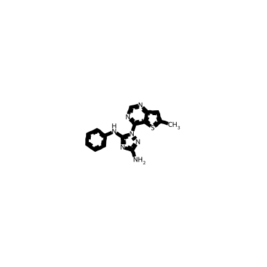 Cc1cc2ncnc(-n3nc(N)nc3Nc3ccccc3)c2s1